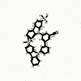 C[Si](C)(C)c1ccc2c3ccccc3n(-c3cccc(-c4cc(C#N)cc(-n5c6ccccc6c6ccc([Si](C)(C)C)cc65)c4)c3)c2c1